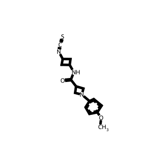 COc1ccc(N2CC(C(=O)NC3CC(N=C=S)C3)C2)cc1